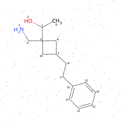 CC(O)C1(CN)CC(CCc2ccccc2)C1